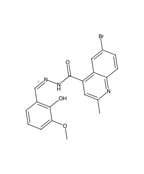 COc1cccc(/C=N\NC(=O)c2cc(C)nc3ccc(Br)cc23)c1O